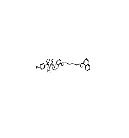 O=C(NC(=S)N1CCCc2c(OCCCCCOc3cccc4ccccc34)cccc21)c1ccc(F)cc1